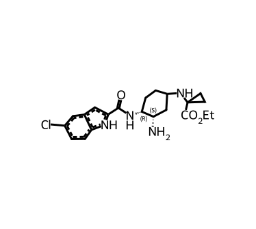 CCOC(=O)C1(NC2CC[C@@H](NC(=O)c3cc4cc(Cl)ccc4[nH]3)[C@@H](N)C2)CC1